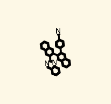 N#Cc1ccc(-c2cc3ccccc3cc2-c2cc3ccccc3cc2-c2ncc3ccccc3n2)cc1